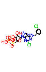 O=P(O)(O)CS(=O)(=O)C[C@H]1O[C@@H](n2ncc3c(NCc4cccc(Cl)c4)nc(Cl)nc32)[C@H](O)[C@@H]1O